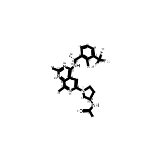 CC(=O)N[C@@H]1CCN(c2cc3c(N[C@H](C)c4cccc(C(F)(F)F)c4C)nc(C)nc3c(C)n2)C1